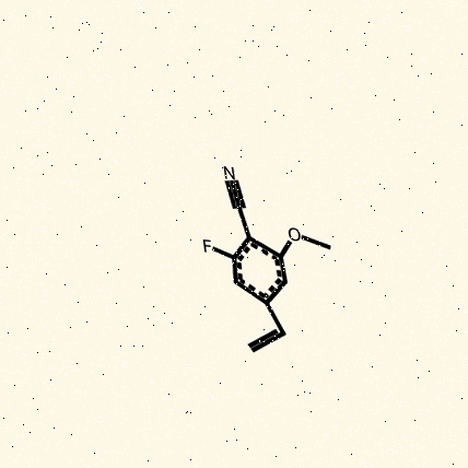 C=Cc1cc(F)c(C#N)c(OC)c1